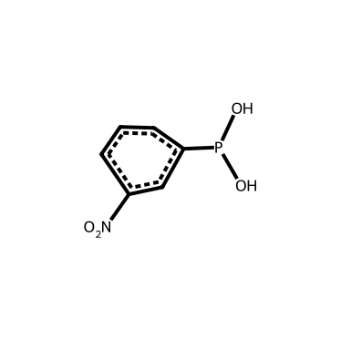 O=[N+]([O-])c1cccc(P(O)O)c1